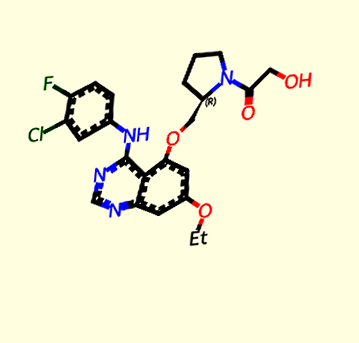 CCOc1cc(OC[C@H]2CCCN2C(=O)CO)c2c(Nc3ccc(F)c(Cl)c3)ncnc2c1